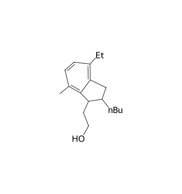 CCCCC1Cc2c(CC)ccc(C)c2C1CCO